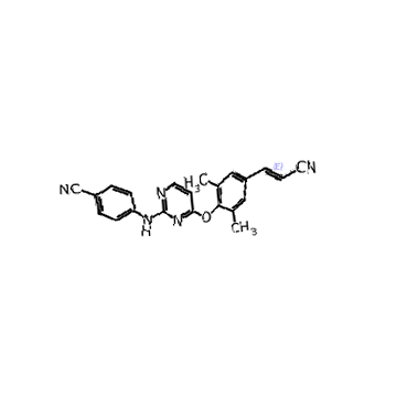 Cc1cc(/C=C/C#N)cc(C)c1Oc1ccnc(Nc2ccc(C#N)cc2)n1